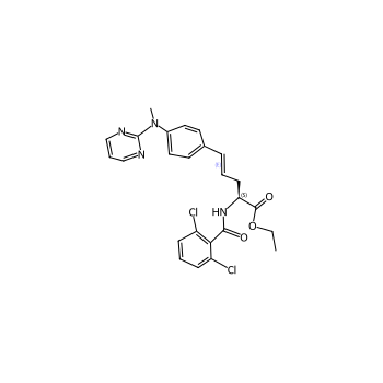 CCOC(=O)[C@H](C/C=C/c1ccc(N(C)c2ncccn2)cc1)NC(=O)c1c(Cl)cccc1Cl